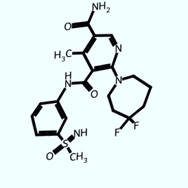 Cc1c(C(N)=O)cnc(N2CCCC(F)(F)CC2)c1C(=O)Nc1cccc(S(C)(=N)=O)c1